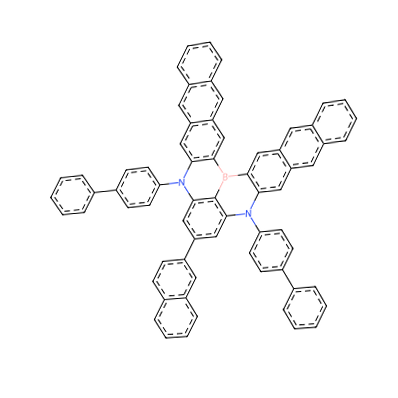 c1ccc(-c2ccc(N3c4cc5cc6ccccc6cc5cc4B4c5cc6cc7ccccc7cc6cc5N(c5ccc(-c6ccccc6)cc5)c5cc(-c6ccc7ccccc7c6)cc3c54)cc2)cc1